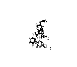 CN1CCN(c2c(F)cncc2NC(=O)c2c(N)nn3cc(CC#N)cnc23)CC1